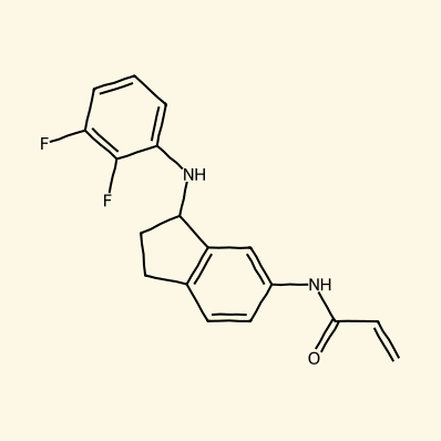 C=CC(=O)Nc1ccc2c(c1)C(Nc1cccc(F)c1F)CC2